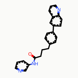 O=C(CCCc1ccc(-c2ccc3ncccc3c2)cc1)Nc1cccnc1